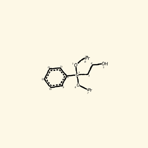 CC(C)O[Si](CCO)(OC(C)C)c1ccccc1